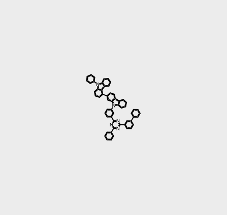 c1ccc(-c2cccc(-c3nc(-c4ccccc4)nc(-c4cccc(-n5c6ccccc6c6ccc(-c7cccc8c7c7ccccc7n8-c7ccccc7)cc65)c4)n3)c2)cc1